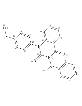 CC(c1ccncc1)n1c(=O)c2cccnc2n(-c2ccc(CO)cc2)c1=O